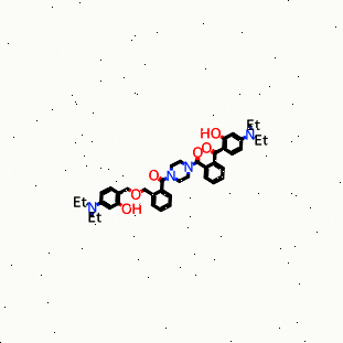 CCN(CC)c1ccc(COCc2ccccc2C(=O)N2CCN(C(=O)c3ccccc3C(=O)c3ccc(N(CC)CC)cc3O)CC2)c(O)c1